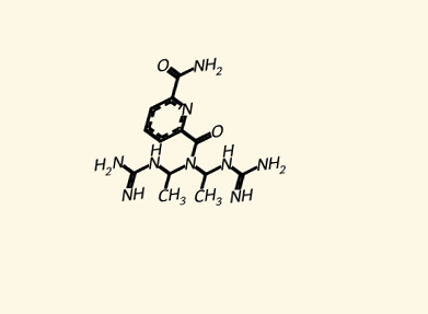 CC(NC(=N)N)N(C(=O)c1cccc(C(N)=O)n1)C(C)NC(=N)N